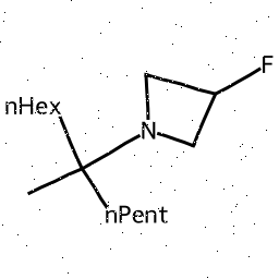 CCCCCCC(C)(CCCCC)N1CC(F)C1